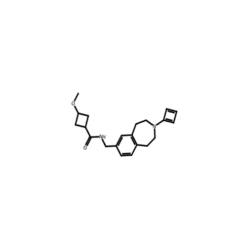 COC1CC(C(=O)NCc2ccc3c(c2)CCN(C2=CC=C2)CC3)C1